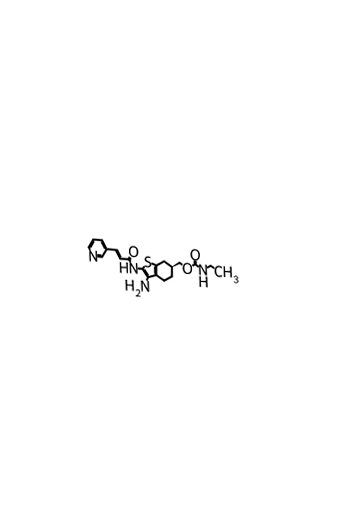 CCNC(=O)OC[C@H]1CCc2c(sc(NC(=O)/C=C/c3cccnc3)c2N)C1